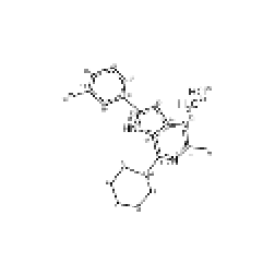 Cc1nc(N2CCCCC2)c2[nH]c(-c3cccc(F)c3)cc2n1.Cl.O